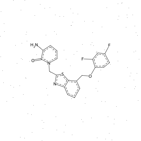 Nc1cccn(Cc2nc3cccc(COc4ccc(F)cc4F)c3s2)c1=O